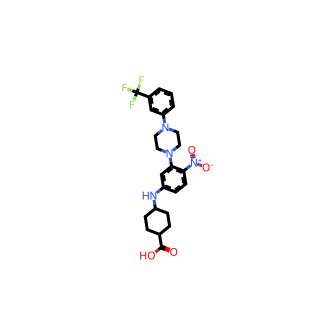 O=C(O)C1CCC(Nc2ccc([N+](=O)[O-])c(N3CCN(c4cccc(C(F)(F)F)c4)CC3)c2)CC1